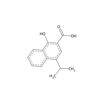 CC(C)c1cc(C(=O)O)c(O)c2ccccc12